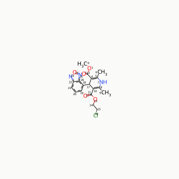 COC(=O)C1=C(C)NC(C)=C(C(=O)OCCCl)C1c1cccc2nonc12